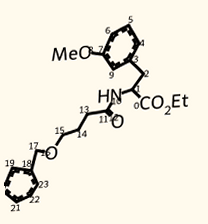 CCOC(=O)C(Cc1cccc(OC)c1)NC(=O)CCCOCc1ccccc1